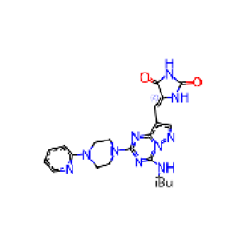 CCC(C)Nc1nc(N2CCN(c3ccccn3)CC2)nc2c(/C=C3\NC(=O)NC3=O)cnn12